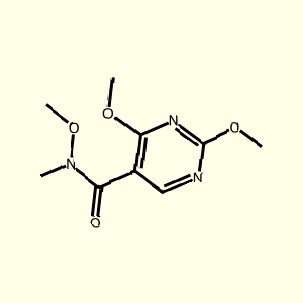 COc1ncc(C(=O)N(C)OC)c(OC)n1